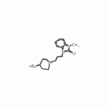 CCCCC1CCN(CCCn2c(=O)n(C)c3ccccc32)CC1